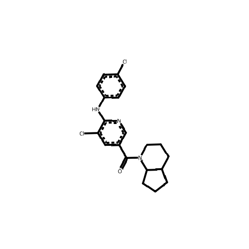 O=C(c1cnc(Nc2ccc(Cl)cc2)c(Cl)c1)N1CCCC2CCCC21